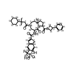 CC(C)(CC(=O)N1CC[C@H]2CC[C@@H](C(=O)N3CC(c4cccnc4)C3)N2C(=O)C(NC(=O)c2cc3cc(C(F)(F)P(=O)(O)O)ccc3s2)C1)C1CCCCC1